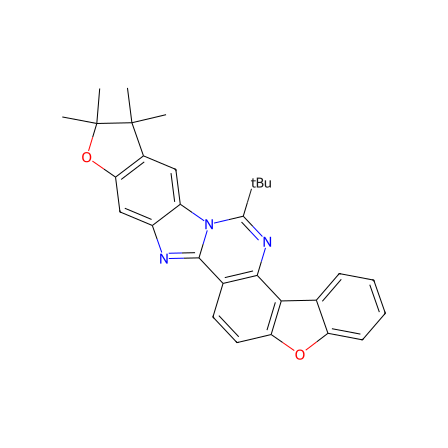 CC(C)(C)c1nc2c(ccc3oc4ccccc4c32)c2nc3cc4c(cc3n12)C(C)(C)C(C)(C)O4